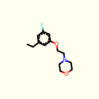 CCc1cc(F)cc(OCCN2CCOCC2)c1